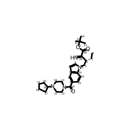 CC[C@H](Cn1ccc2cc(C(=O)N3CCN(C4CCCC4)CC3)ccc21)C(=N)C(=O)OC(C)(C)C